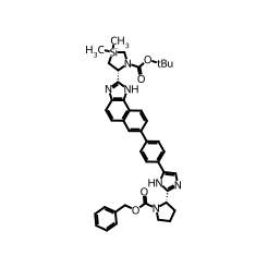 CC(C)(C)OC(=O)N1C[Si](C)(C)C[C@H]1c1nc2ccc3cc(-c4ccc(-c5cnc([C@@H]6CCCN6C(=O)OCc6ccccc6)[nH]5)cc4)ccc3c2[nH]1